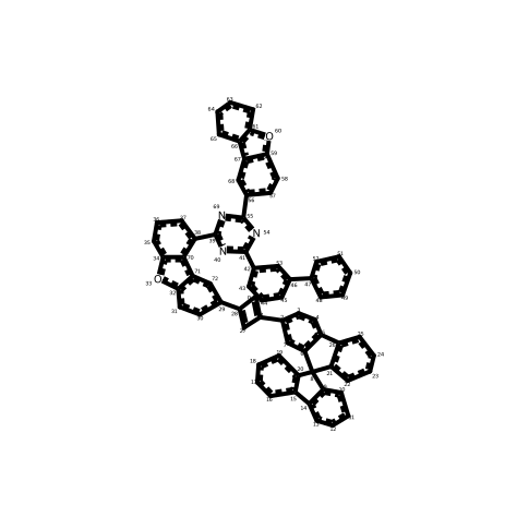 C1=C(c2ccc3c(c2)C2(c4ccccc4-c4ccccc42)c2ccccc2-3)C=C1c1ccc2oc3cccc(-c4nc(-c5cccc(-c6ccccc6)c5)nc(-c5ccc6oc7ccccc7c6c5)n4)c3c2c1